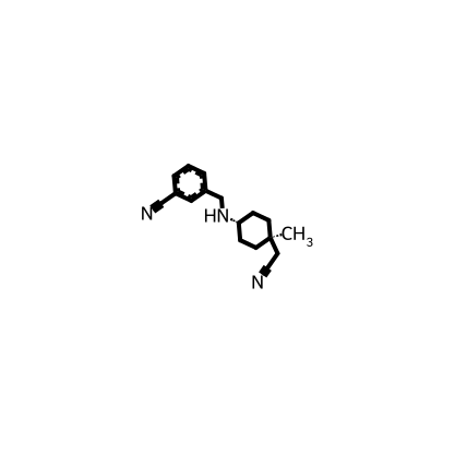 C[C@]1(CC#N)CC[C@H](NCc2cccc(C#N)c2)CC1